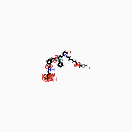 CCOC(=O)CCCCCCN1C(=O)CC[C@@H]1/C=C/[C@@H](OC(=O)Cc1cccc(OC(=O)NCCCC(O)(P(=O)(O)O)P(=O)(O)O)c1)C(F)(F)c1ccccc1